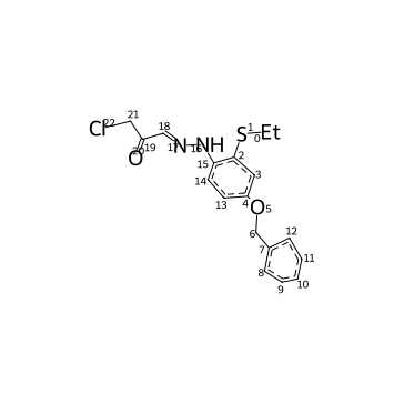 CCSc1cc(OCc2ccccc2)ccc1NN=CC(=O)CCl